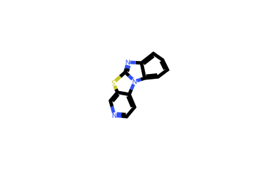 c1ccc2c(c1)nc1sc3cnccc3n12